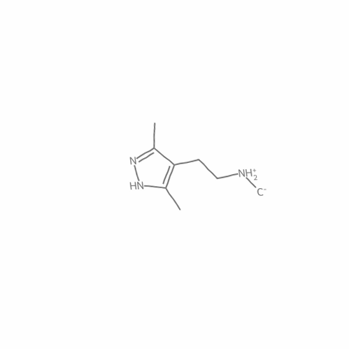 [CH2-][NH2+]CCc1c(C)n[nH]c1C